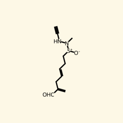 C#CNN(C)[S+]([O-])CCC=CCC(=C)C=O